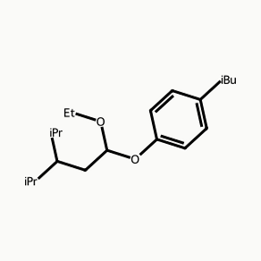 CCOC(CC(C(C)C)C(C)C)Oc1ccc(C(C)CC)cc1